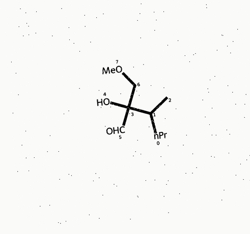 CCCC(C)C(O)(C=O)COC